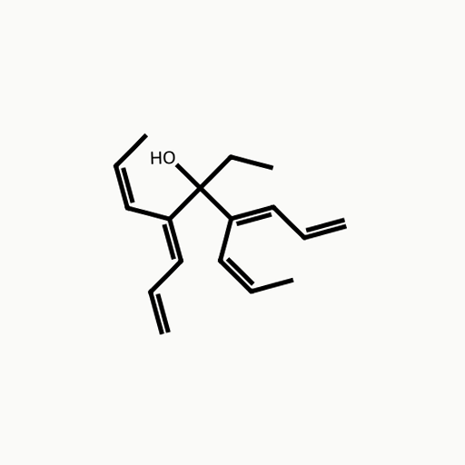 C=C/C=C(\C=C/C)C(O)(CC)C(/C=C\C)=C/C=C